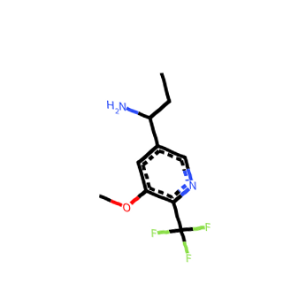 CCC(N)c1cnc(C(F)(F)F)c(OC)c1